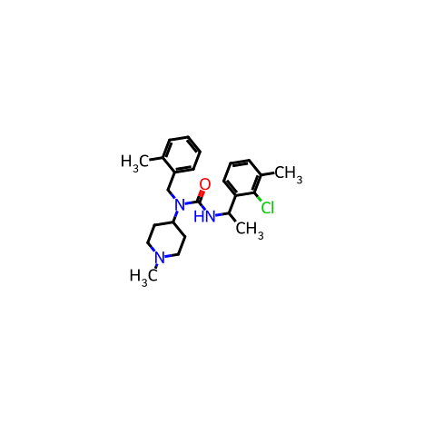 Cc1ccccc1CN(C(=O)NC(C)c1cccc(C)c1Cl)C1CCN(C)CC1